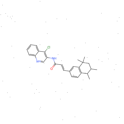 CC1CC(C)(C)c2cc(C=CC(=O)Nc3cnc4ccccc4c3Cl)ccc2C1C